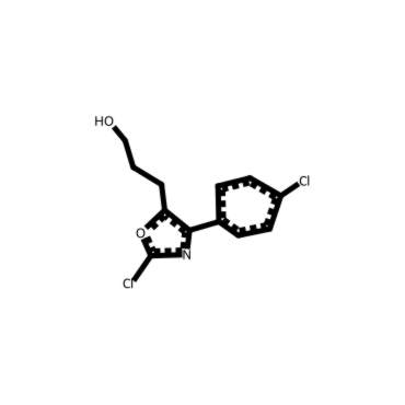 OCCCc1oc(Cl)nc1-c1ccc(Cl)cc1